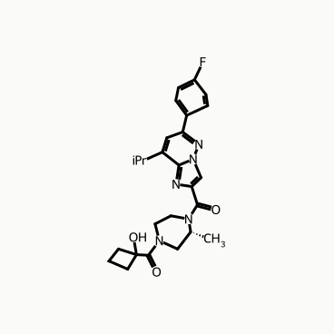 CC(C)c1cc(-c2ccc(F)cc2)nn2cc(C(=O)N3CCN(C(=O)C4(O)CCC4)C[C@H]3C)nc12